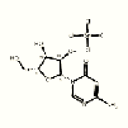 Nc1ncn([C@@H]2O[C@H](CO)[C@@H](O)[C@H]2O)c(=O)n1.[Cl][Sn]([Cl])([Cl])[Cl]